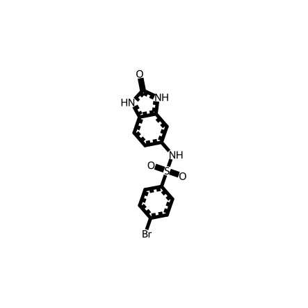 O=c1[nH]c2ccc(NS(=O)(=O)c3ccc(Br)cc3)cc2[nH]1